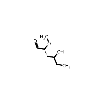 CCC(O)C[C@H](C=O)OC